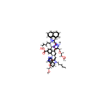 CCCCCn1/c(=C/C=C/C(=C/C=C/C2=[N+](CCCCC)c3cccc4cccc2c34)c2c(Cn3cc(COCCOC)[n+](C)n3)cc(C(=O)O)cc2Cn2cc(COCCOC)[n+](C)n2)c2cccc3cccc1c32